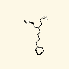 C=CCC(CCC)CCCCc1ccccc1